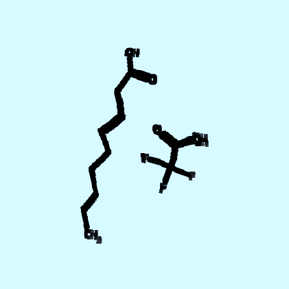 CCCCCC=CCC(=O)O.O=C(O)C(F)(F)F